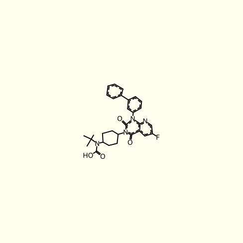 CC(C)(C)N(C(=O)O)C1CCC(n2c(=O)c3cc(F)cnc3n(-c3cccc(-c4ccccc4)c3)c2=O)CC1